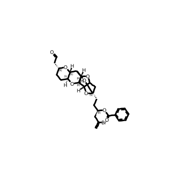 C=C(Br)C[C@@H](CC[C@@]12CC3O[C@H]4C(O1)[C@H]1O[C@@H](CC=O)CC[C@@H]1O[C@H]4[C@H]3O2)OC(=O)c1ccccc1